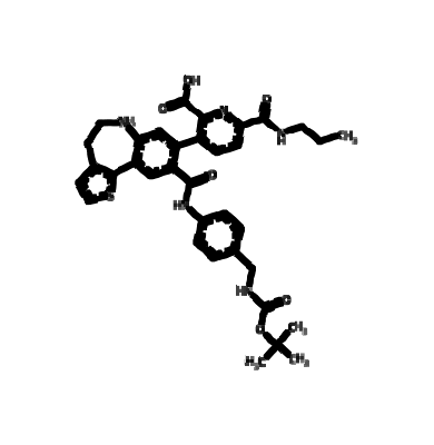 CCCNC(=O)c1ccc(-c2cc3c(cc2C(=O)Nc2ccc(CNC(=O)OC(C)(C)C)cc2)-c2sccc2CCN3)c(C(=O)O)n1